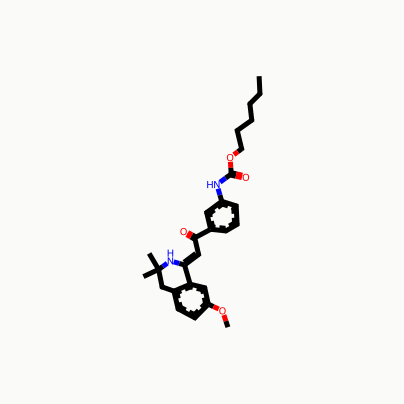 CCCCCCOC(=O)Nc1cccc(C(=O)C=C2NC(C)(C)Cc3ccc(OC)cc32)c1